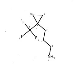 NCCCC1(C(F)(F)F)CC1